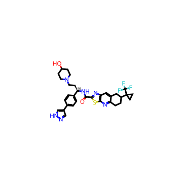 O=C(N[C@H](CCN1CCC(O)CC1)c1ccc(-c2cn[nH]c2)cc1)c1nc2cc3c(nc2s1)CCC(C1(C(F)(F)F)CC1)C3